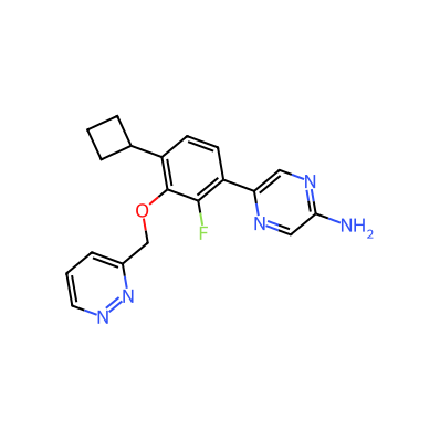 Nc1cnc(-c2ccc(C3CCC3)c(OCc3cccnn3)c2F)cn1